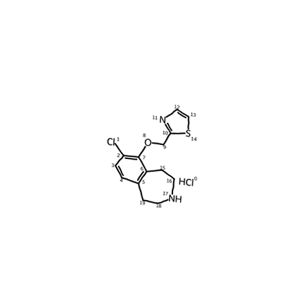 Cl.Clc1ccc2c(c1OCc1nccs1)CCNCC2